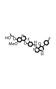 COc1cc2c(Oc3ccc(Nc4nccc5[nH]cc(-c6ccc(F)cc6)c(=O)c45)cc3F)ccnc2cc1OCC(C)O